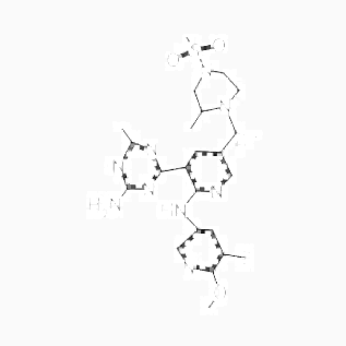 COc1ncc(Nc2ncc([C@@H](C)N3CCN(S(C)(=O)=O)CC3C)cc2-c2nc(C)nc(N)n2)cc1F